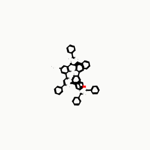 N#Cc1cc(-c2cc(-c3ccccc3)nc(-c3ccccc3)n2)c(-n2c3ccccc3c3cc(-c4nc(-c5ccccc5)nc(-c5ccccc5)n4)ccc32)c(-c2cc(-c3ccccc3)nc(-c3ccccc3)n2)c1